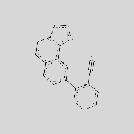 N#Cc1cccnc1-c1ccc2ccc3cn[nH]c3c2c1